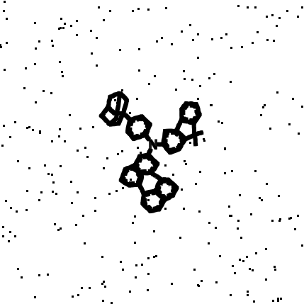 CC1(C)c2ccccc2-c2cc(N(c3ccc(C45CC6CC(CC(C6)C4)C5)cc3)c3cccc(-c4cccc5cccc(-c6ccccc6)c45)c3)ccc21